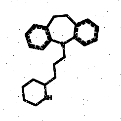 c1ccc2c(c1)CCc1ccccc1N2CCCC1CCCCN1